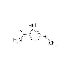 CC(N)c1ccc(OC(F)(F)F)cc1.Cl